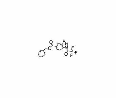 O=C(OCc1ccccc1)c1ccc(NC(=O)C(F)(F)F)c(F)c1